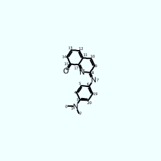 CN(C)c1ccc(N=C2C=CC3=CC=CC(=O)C3=N2)cc1